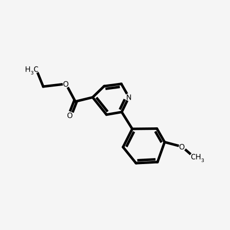 CCOC(=O)c1ccnc(-c2cccc(OC)c2)c1